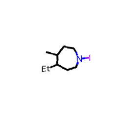 CCC1CCN(I)CCC1C